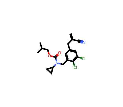 C=C(C#N)Cc1cc(Cl)c(Cl)c(CN(C(=O)OCC(C)C)C2CC2)c1